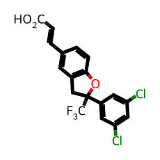 O=C(O)C=Cc1ccc2c(c1)CC(c1cc(Cl)cc(Cl)c1)(C(F)(F)F)O2